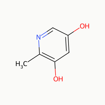 Cc1ncc(O)cc1O